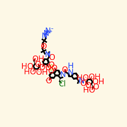 COc1ccc2c(OS(=O)(=O)Oc3cc(C(=O)N(C)CC(C)(C)COCC(C)(C)CN=[N+]=[N-])ccc3O[C@@H]3O[C@H](CO)[C@@H](O)[C@H](O)[C@H]3O)cc3c(c2c1)[C@H](CCl)CN3C(=O)c1cc2cc(/C(C)=N/O[C@@H]3O[C@H](C(=O)O)[C@@H](O)[C@H](O)[C@H]3O)ccc2[nH]1